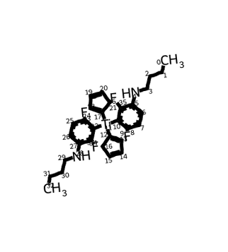 CCCCNc1ccc(F)[c]([Ti]([C]2=CC=CC2)([C]2=CC=CC2)[c]2c(F)ccc(NCCCC)c2F)c1F